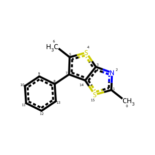 Cc1nc2sc(C)c(-c3ccccc3)c2s1